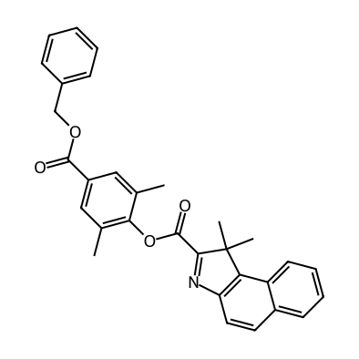 Cc1cc(C(=O)OCc2ccccc2)cc(C)c1OC(=O)C1=Nc2ccc3ccccc3c2C1(C)C